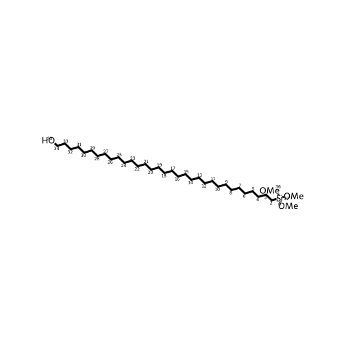 CO[Si](CCCCCCCCCCCCCCCCCCCCCCCCCCCCCCCCCO)(OC)OC